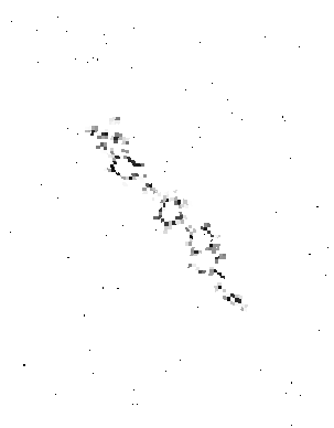 CCCC1CCC2CC(c3ccc(C#Cc4ccc(OC(F)(F)F)cc4)cc3)CCC2C1